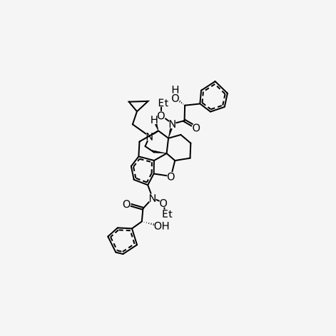 CCON(C(=O)[C@H](O)c1ccccc1)c1ccc2c3c1OC1CCC[C@@]4(N(OCC)C(=O)[C@H](O)c5ccccc5)[C@@H](C2)N(CC2CC2)CC[C@]314